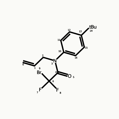 C=CCN(C(=O)C(F)(F)Br)c1ccc(C(C)(C)C)cc1